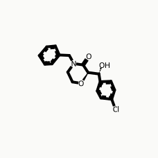 O=C1[C@@H]([C@H](O)c2ccc(Cl)cc2)OCCN1Cc1ccccc1